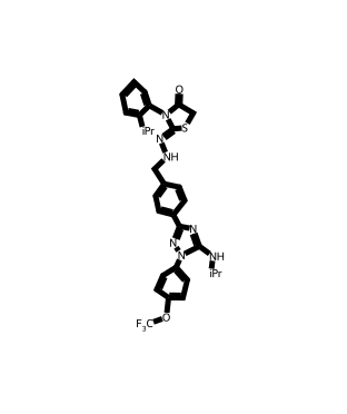 CC(C)Nc1nc(-c2ccc(CN/N=C3\SCC(=O)N3c3ccccc3C(C)C)cc2)nn1-c1ccc(OC(F)(F)F)cc1